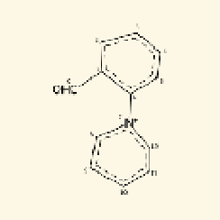 O=Cc1ccccc1-[n+]1ccccc1